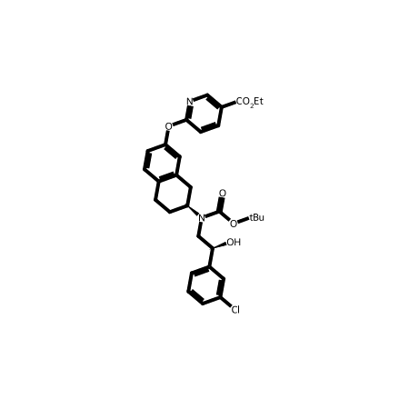 CCOC(=O)c1ccc(Oc2ccc3c(c2)C[C@@H](N(C[C@@H](O)c2cccc(Cl)c2)C(=O)OC(C)(C)C)CC3)nc1